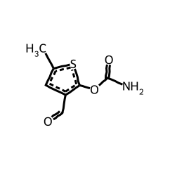 Cc1cc(C=O)c(OC(N)=O)s1